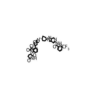 Cn1c(=O)n(C2CCC(=O)NC2=O)c2cccc(C3COC4(C3)CN(C[C@H]3CC[C@H](n5cc6cc(NC(=O)c7cccc(C(F)(F)F)n7)ncc6n5)CC3)C4)c21